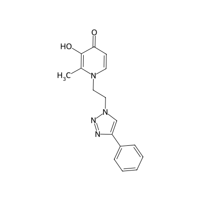 Cc1c(O)c(=O)ccn1CCn1cc(-c2ccccc2)nn1